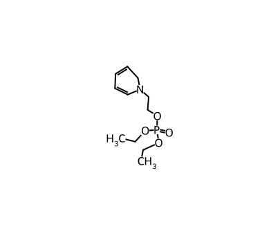 CCOP(=O)(OCC)OCCN1C=CC=CC1